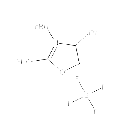 CCCC[N+]1=C(C)OCC1C(C)C.F[B-](F)(F)F